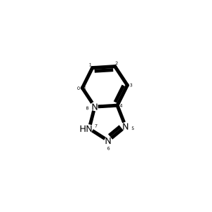 [C]1C=CC=C2N=NNN12